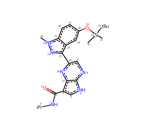 CC(C)NC(=O)c1c[nH]c2ncc(-c3nn(C)c4ccc(O[Si](C)(C)C(C)(C)C)cc34)nc12